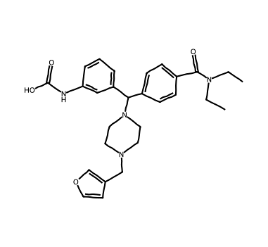 CCN(CC)C(=O)c1ccc(C(c2cccc(NC(=O)O)c2)N2CCN(Cc3ccoc3)CC2)cc1